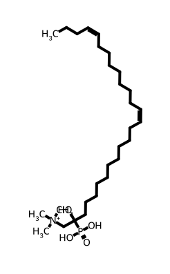 CCC/C=C\CCCCCCC/C=C\CCCCCCCCCCC(O)(C[N+](C)(C)C)P(=O)(O)O